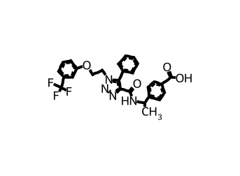 CC(NC(=O)c1nnn(CCOc2cccc(C(F)(F)F)c2)c1-c1ccccc1)c1ccc(C(=O)O)cc1